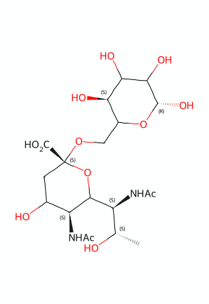 CC(=O)N[C@H]1C(O)C[C@@](OCC2O[C@@H](O)C(O)C(O)[C@@H]2O)(C(=O)O)OC1[C@@H](NC(C)=O)[C@H](C)O